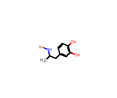 CC(Cc1ccc(O)c(O)c1)NBr